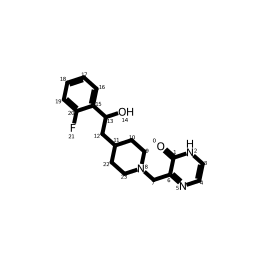 O=c1[nH]ccnc1CN1CCC(CC(O)c2ccccc2F)CC1